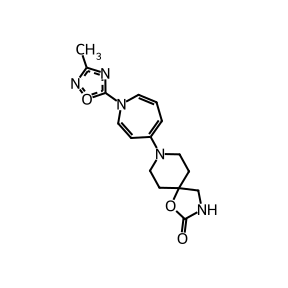 Cc1noc(N2C=CC=C(N3CCC4(CC3)CNC(=O)O4)C=C2)n1